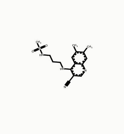 Cc1cc2ncc(C#N)c(NCCCNS(C)(=O)=O)c2cc1C